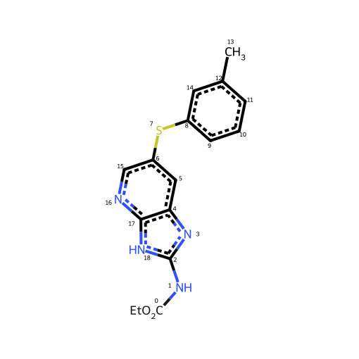 CCOC(=O)Nc1nc2cc(Sc3cccc(C)c3)cnc2[nH]1